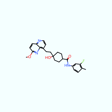 COc1ccc2nccc(CCC3(O)CCC(C(=O)Nc4ccc(C)c(F)c4)CC3)c2n1